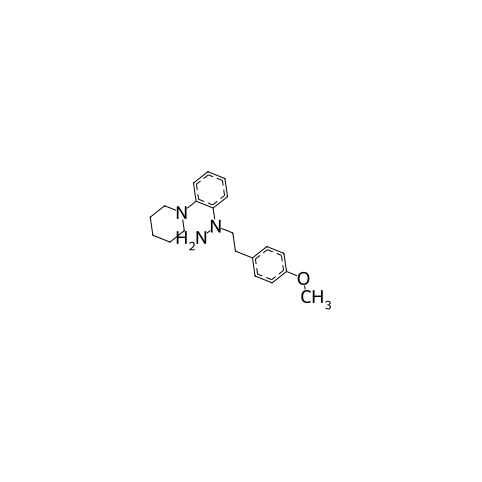 COc1ccc(CCN(N)c2ccccc2N2CCCCC2)cc1